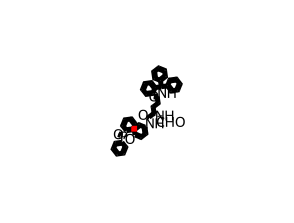 O=CNC(CCC(=O)NC(c1ccccc1)(c1ccccc1)c1ccccc1)C(=O)Nc1ccc(OP(=O)(c2ccccc2)c2ccccc2)cc1